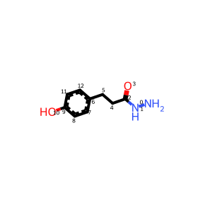 NNC(=O)CCc1ccc(O)cc1